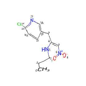 CCCNC(=C[N+](=O)[O-])Cc1ccc(Cl)nc1